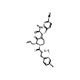 CCC[C@H]1C(=O)N([C@@H](Cc2ccc(C#N)cc2)C(=O)NC)CCN1C(=O)[C@H](N)Cc1ccc(F)cc1